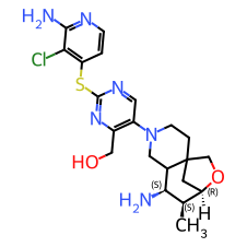 C[C@@H]1[C@H]2CC3(CCN(c4cnc(Sc5ccnc(N)c5Cl)nc4CO)CC3[C@@H]1N)CO2